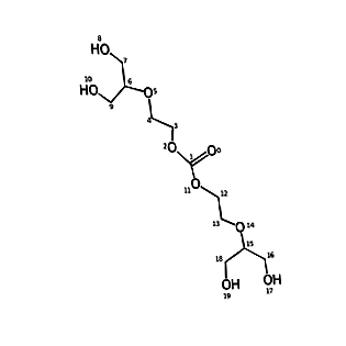 O=C(OCCOC(CO)CO)OCCOC(CO)CO